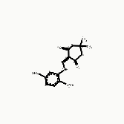 COc1ccc(C=O)cc1NC=C1C(=O)CC(C)(C)CC1=O